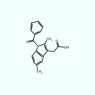 Cc1ccc2c(c1)c(CC(=O)O)c(C)n2C(=O)c1ccccc1